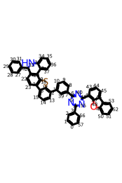 c1ccc(-c2nc(-c3cccc(-c4cccc5c4sc4c6c(ccc45)C(c4ccccc4)Nc4ccccc4-6)c3)nc(-c3cccc4c3oc3ccccc34)n2)cc1